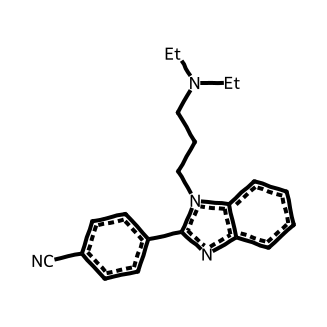 CCN(CC)CCCn1c(-c2ccc(C#N)cc2)nc2ccccc21